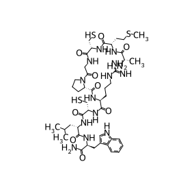 CSCC[C@H](NC(=O)[C@H](C)N)C(=O)N[C@@H](CS)C(=O)NCC(=O)N1CCC[C@H]1C(=O)N[C@@H](CCCNC(=N)N)C(=O)N[C@@H](CS)C(=O)N[C@@H](CC(C)C)C(=O)N[C@@H](Cc1c[nH]c2ccccc12)C(N)=O